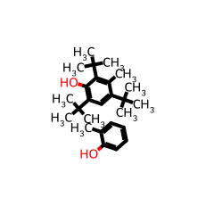 Cc1c(C(C)(C)C)cc(C(C)(C)C)c(O)c1C(C)(C)C.Cc1ccccc1O